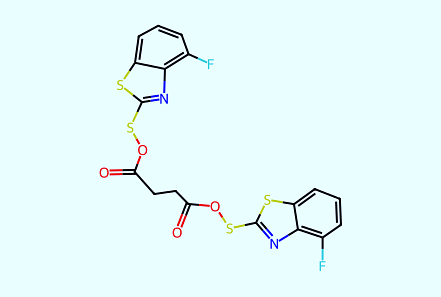 O=C(CCC(=O)OSc1nc2c(F)cccc2s1)OSc1nc2c(F)cccc2s1